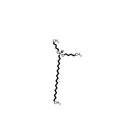 CCCCCCCCCCCCCCCCCCCCP(=O)(OCCCCC)OCCCCC